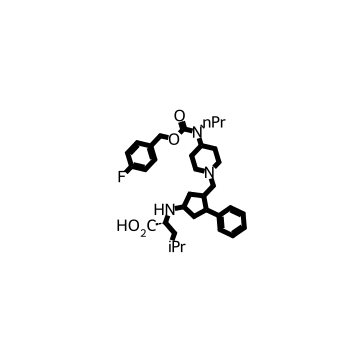 CCCN(C(=O)OCc1ccc(F)cc1)C1CCN(CC2CC(N[C@H](CC(C)C)C(=O)O)CC2c2ccccc2)CC1